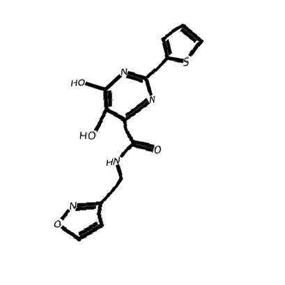 O=C(NCc1ccon1)c1nc(-c2cccs2)nc(O)c1O